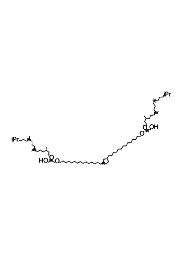 CC(C)CCC[C@@H](C)CCC[C@@H](C)CCCC(C)CCO[C@H](CO)COCCCCCCCCCCCCCCC[C@@H]1CCC(CCCCCCCCCCCCCCOC[C@@H](CO)OCCC(C)CCC[C@H](C)CCC[C@H](C)CCCC(C)C)C1